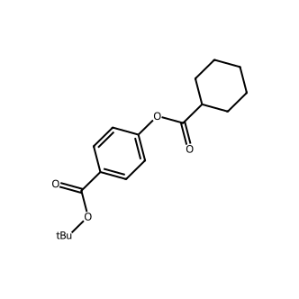 CC(C)(C)OC(=O)c1ccc(OC(=O)C2CCCCC2)cc1